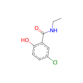 CCNC(=O)c1cc(Cl)ccc1O